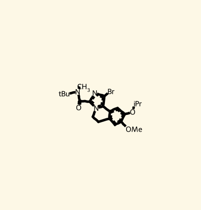 COc1cc2c(cc1OC(C)C)-c1c(Br)nc(C(=O)N(C)C(C)(C)C)n1CC2